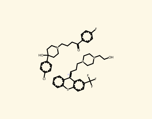 O=C(CCCN1CCC(O)(c2ccc(Cl)cc2)CC1)c1ccc(F)cc1.OCCN1CCN(CC/C=C2/c3ccccc3Sc3ccc(C(F)(F)F)cc32)CC1